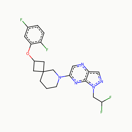 Fc1ccc(F)c(OC2CC3(CCCN(c4cnc5cnn(CC(F)F)c5n4)C3)C2)c1